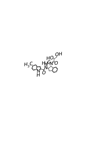 Cc1ccc2[nH]c(C(=O)N[C@@H]3Cc4ccccc4[C@H]3N(C)C(=O)[C@@H](O)CO)cc2c1